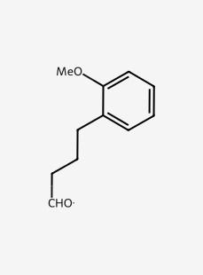 COc1ccccc1CCC[C]=O